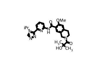 COc1cc2c(cc1C(=O)Nc1cccc(-c3nncn3C(C)C)n1)CN(C(=O)C(C)(C)O)CC2